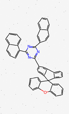 c1ccc2c(c1)Oc1ccccc1C21c2ccccc2-c2cc(-c3nc(-c4ccc5ccccc5c4)nc(-c4cccc5ccccc45)n3)ccc21